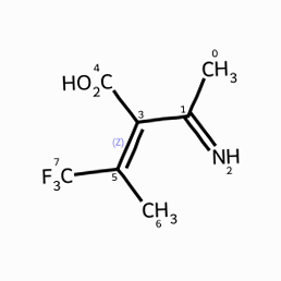 CC(=N)/C(C(=O)O)=C(\C)C(F)(F)F